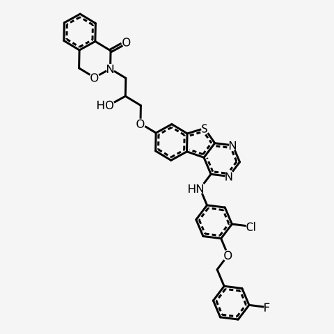 O=C1c2ccccc2CON1CC(O)COc1ccc2c(c1)sc1ncnc(Nc3ccc(OCc4cccc(F)c4)c(Cl)c3)c12